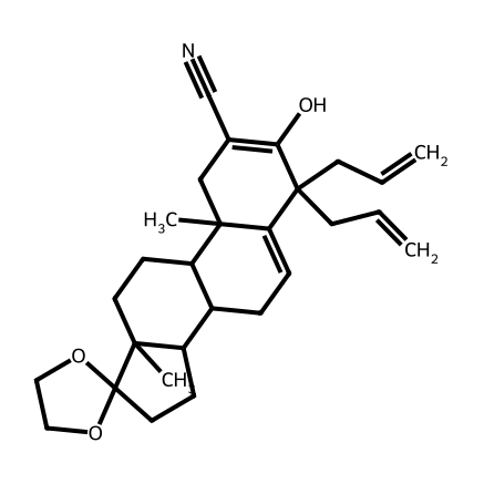 C=CCC1(CC=C)C2=CCC3C(CCC4(C)C3CCC43OCCO3)C2(C)CC(C#N)=C1O